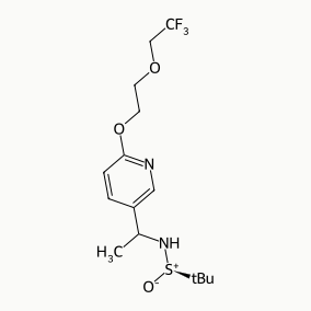 CC(N[S@+]([O-])C(C)(C)C)c1ccc(OCCOCC(F)(F)F)nc1